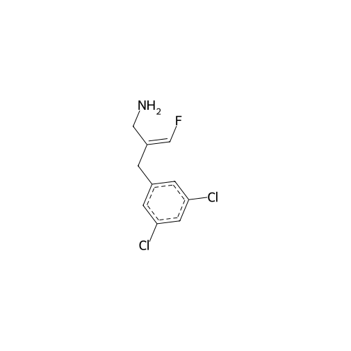 NCC(=CF)Cc1cc(Cl)cc(Cl)c1